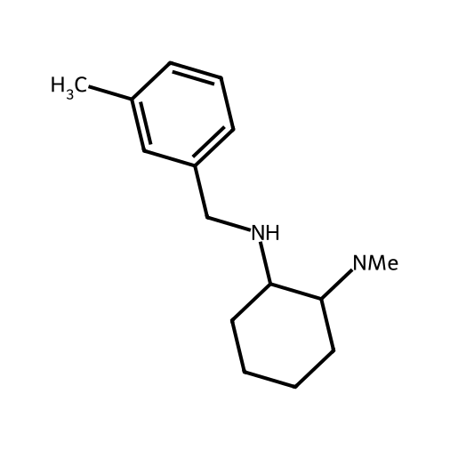 CNC1CCCCC1NCc1cccc(C)c1